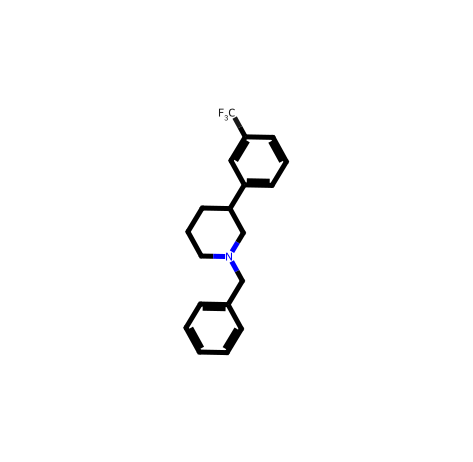 FC(F)(F)c1cccc(C2CCCN(Cc3ccccc3)C2)c1